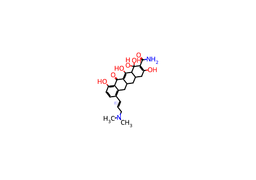 CN(C)C/C=C/c1ccc(O)c2c1CC1CC3CC(O)=C(C(N)=O)C(O)(O)C3C(O)=C1C2=O